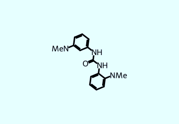 CNc1cccc(NC(=O)Nc2ccccc2NC)c1